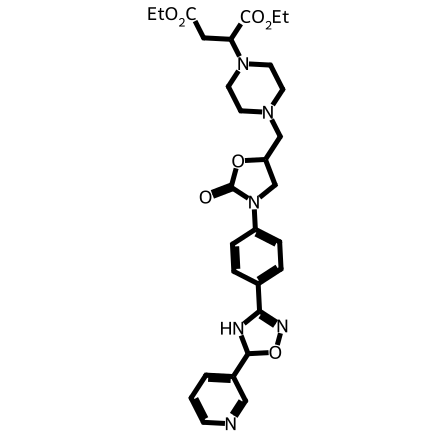 CCOC(=O)CC(C(=O)OCC)N1CCN(CC2CN(c3ccc(C4=NOC(c5cccnc5)N4)cc3)C(=O)O2)CC1